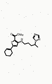 COC(=O)c1sc(C2=CCCCC2)cc1NCCCC(C)n1cncn1